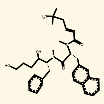 CN(C(=O)/C=C/CC(C)(C)N)[C@H](Cc1ccc2ccccc2c1)C(=O)N(C)[C@H](Cc1ccccc1)C(O)CCCO